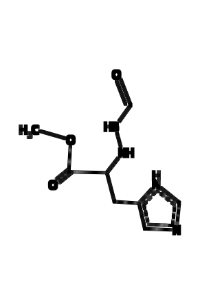 COC(=O)C(Cc1cnc[nH]1)NBC=O